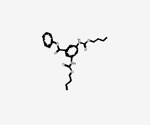 CCCCOC(=O)Nc1cc(NC(=O)OCCCC)cc(C(=O)Oc2ccccc2)c1